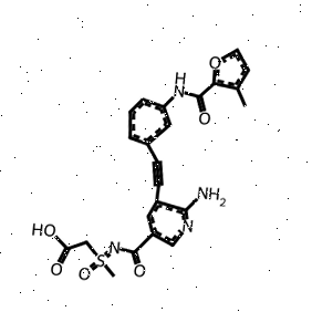 Cc1ccoc1C(=O)Nc1cccc(C#Cc2cc(C(=O)N=S(C)(=O)CC(=O)O)cnc2N)c1